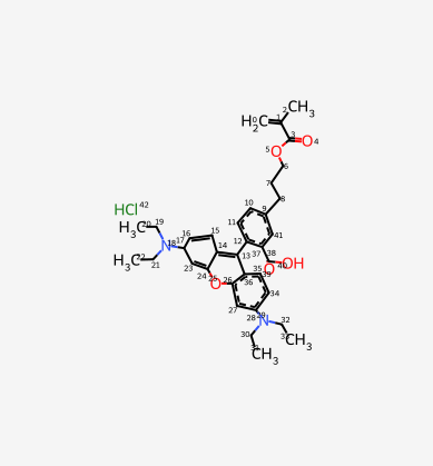 C=C(C)C(=O)OCCCc1ccc(C2=C3C=CC(N(CC)CC)C=C3Oc3cc(N(CC)CC)ccc32)c(C(=O)O)c1.Cl